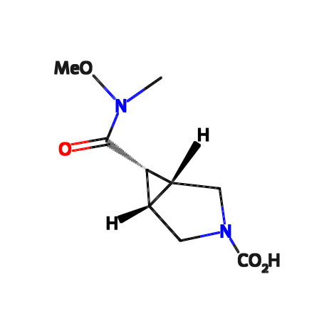 CON(C)C(=O)[C@@H]1[C@@H]2CN(C(=O)O)C[C@@H]21